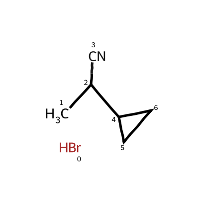 Br.CC(C#N)C1CC1